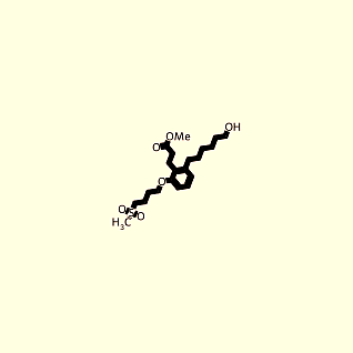 COC(=O)CCc1c(CCCCCCO)cccc1OCCCCS(C)(=O)=O